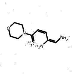 C=C(/C=C\C(N)=C/N)N1CCOCC1